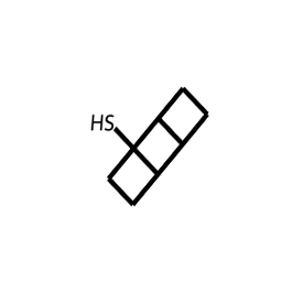 SC12C3C4C5C3C1C5C42